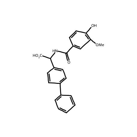 COc1cc(C(=O)NC(C(=O)O)c2ccc(-c3ccccc3)cc2)ccc1O